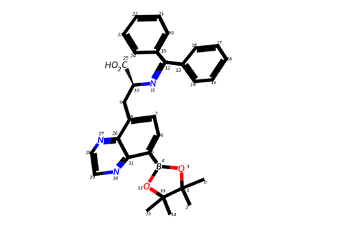 CC1(C)OB(c2ccc(C[C@H](N=C(c3ccccc3)c3ccccc3)C(=O)O)c3nccnc23)OC1(C)C